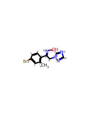 Cc1cc(Br)ccc1/C(Cn1cncn1)=N/O